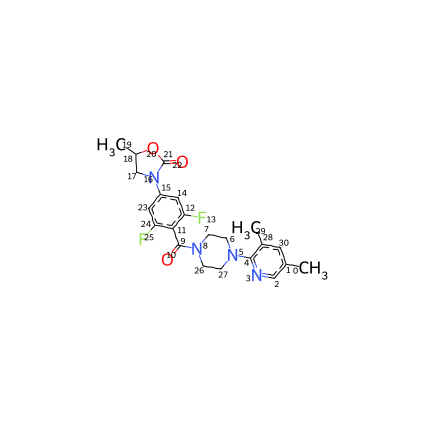 Cc1cnc(N2CCN(C(=O)c3c(F)cc(N4CC(C)OC4=O)cc3F)CC2)c(C)c1